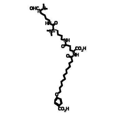 CN(C)[C@H](C=O)CCCCNC(=O)[C@H](CCCCNC(=O)CC[C@H](NC(=O)CCCCCCCCCCCOc1ccc(C(=O)O)cc1)C(=O)O)N(C)C